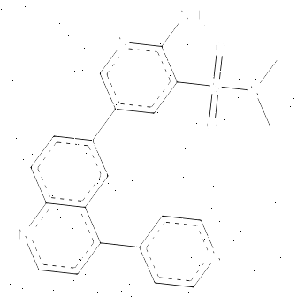 CN(C)S(=O)(=O)c1cc(-c2ccc3nccc(-c4ccncc4)c3c2)cnc1N